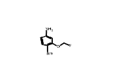 CCCc1ccc(N)cc1OCF